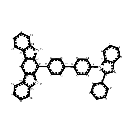 c1ccc(-c2nc3ccccc3n2-c2ccc(-c3ccc(-c4c5oc6ccccc6c5cc5c4oc4ccccc45)cc3)cc2)cc1